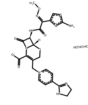 CON=C(C(=O)N[C@@H]1C(=O)N2C(C(=O)[O-])=C(C[n+]3ccc(C4=NCCN4)cc3)CS[C@@H]12)c1csc(N)n1.Cl.Cl.Cl